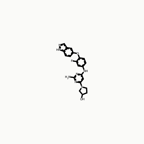 Nc1nc(Nc2ccc(Oc3ccc4[nH]ncc4c3)c(F)c2)cc(N2CCC(O)C2)n1